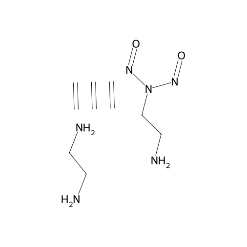 C=C.C=C.C=C.NCCN.NCCN(N=O)N=O